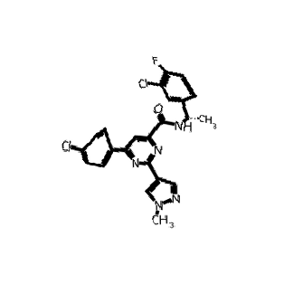 C[C@H](NC(=O)c1cc(-c2ccc(Cl)cc2)nc(-c2cnn(C)c2)n1)c1ccc(F)c(Cl)c1